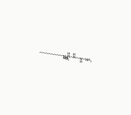 CCCCCCCCCCCCCCCCCCN(N)CC(=O)NCCCNCCCCNCCCN